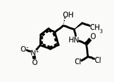 CC[C@@H](NC(=O)C(Cl)Cl)[C@@H](O)c1ccc([N+](=O)[O-])cc1